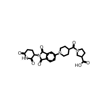 O=C1CCC(N2C(=O)c3ccc(N4CCC(C(=O)N5CCC(C(=O)O)C5)CC4)cc3C2=O)C(=O)N1